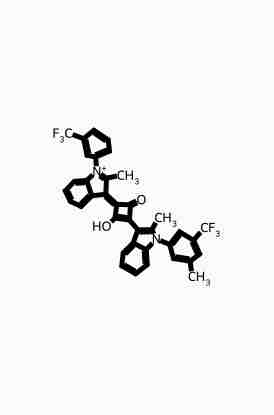 CC1=[N+](c2cccc(C(F)(F)F)c2)c2ccccc2/C1=C1/C(=O)C(c2c(C)n(-c3cc(C)cc(C(F)(F)F)c3)c3ccccc23)=C1O